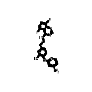 Oc1cc(CCNc2ncnc3c(F)ccc(F)c23)ccc1Oc1cc(C(F)(F)F)ccn1